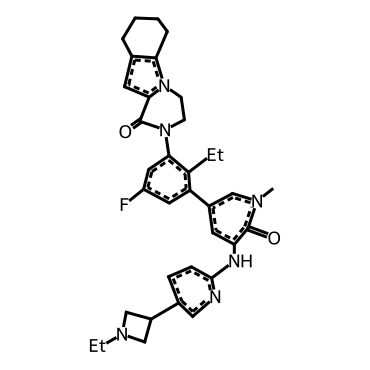 CCc1c(-c2cc(Nc3ccc(C4CN(CC)C4)cn3)c(=O)n(C)c2)cc(F)cc1N1CCn2c(cc3c2CCCC3)C1=O